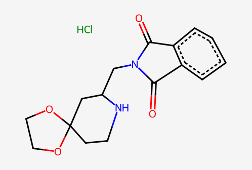 Cl.O=C1c2ccccc2C(=O)N1CC1CC2(CCN1)OCCO2